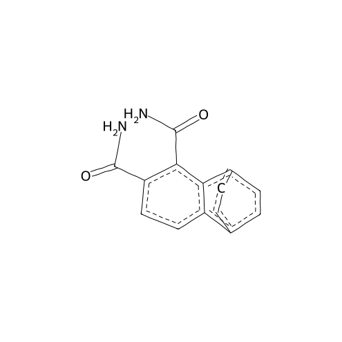 NC(=O)c1ccc2c3ccc(cc3)c2c1C(N)=O